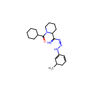 CC1C=C(N/N=N\C(=N)C2CCCCN2C(=O)C2CCCCC2)C=CC1